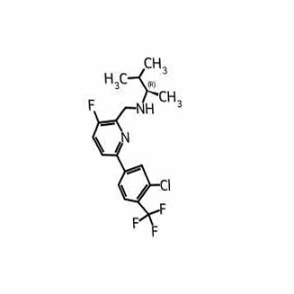 CC(C)[C@@H](C)NCc1nc(-c2ccc(C(F)(F)F)c(Cl)c2)ccc1F